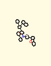 c1ccc(-c2ccc(-c3ccc(N(c4ccc(-c5cccc6c5oc5ccccc56)cc4)c4ccccc4-c4ccccc4)cc3)cc2-c2cccc3ccccc23)cc1